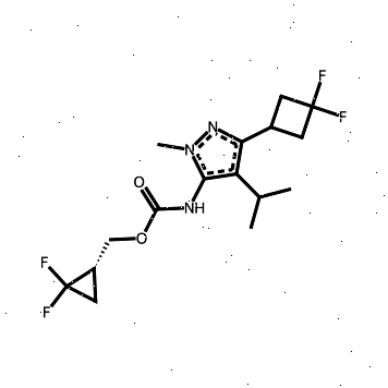 CC(C)c1c(C2CC(F)(F)C2)nn(C)c1NC(=O)OC[C@@H]1CC1(F)F